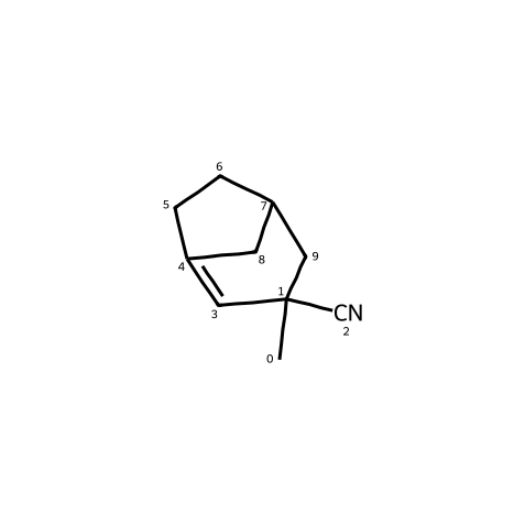 CC1(C#N)C=C2CCC(C2)C1